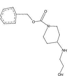 O=C(OCc1ccccc1)N1CCC(NCCO)CC1